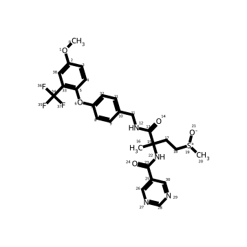 COc1ccc(Oc2ccc(CNC(=O)C(C)(CC[S+](C)[O-])NC(=O)c3cncnc3)cc2)c(C(F)(F)F)c1